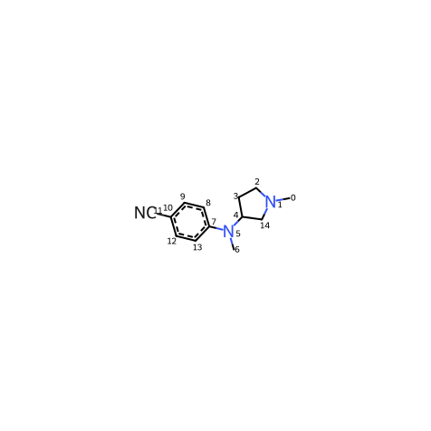 CN1CCC(N(C)c2ccc(C#N)cc2)C1